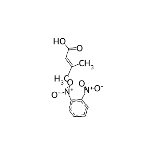 CC(C)=CC(=O)O.O=[N+]([O-])c1ccccc1[N+](=O)[O-]